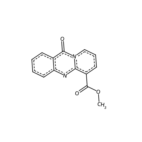 COC(=O)c1cccn2c(=O)c3ccccc3nc12